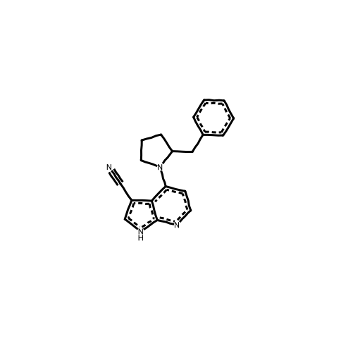 N#Cc1c[nH]c2nccc(N3CCCC3Cc3ccccc3)c12